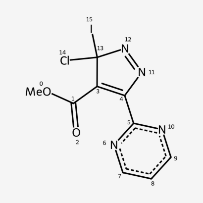 COC(=O)C1=C(c2ncccn2)N=NC1(Cl)I